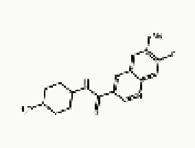 COc1cc2cc(C(=O)NC3CCC(C)CC3)cnc2cc1F